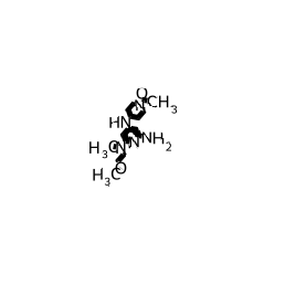 COCCN(C)c1cc(NC2CCN(C(C)=O)CC2)cc(N)n1